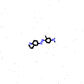 Cc1cc(N(C)C)ccc1/N=N/c1ccc2ncccc2c1